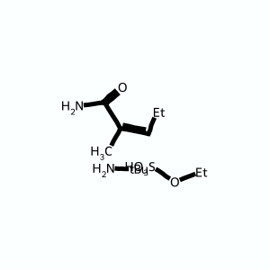 CC(C)(C)N.CCC=C(C)C(N)=O.CCOS(=O)(=O)O